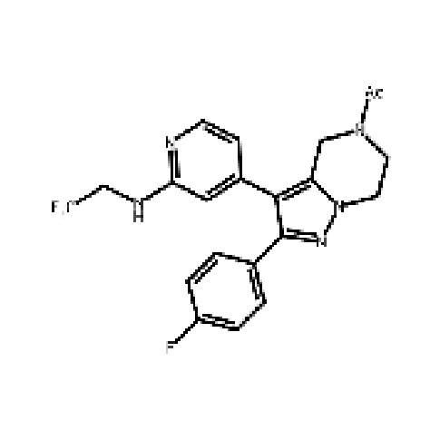 CC(=O)N1CCn2nc(-c3ccc(F)cc3)c(-c3ccnc(NCC(F)(F)F)c3)c2C1